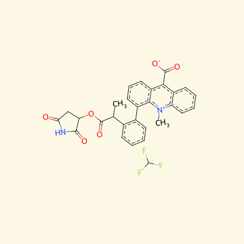 CC(C(=O)OC1CC(=O)NC1=O)c1ccccc1-c1cccc2c(C(=O)[O-])c3ccccc3[n+](C)c12.FC(F)F